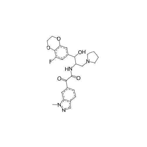 Cn1ncc2ccc(C(=O)C(=O)NC(CN3CCCC3)C(O)c3cc(F)c4c(c3)OCCO4)cc21